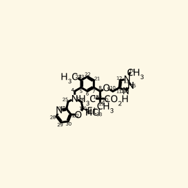 CC[C@@H]1CN(Cc2cc(C(OCc3cn(C)nn3)C(C)(C)C(=O)O)ccc2C)Cc2ncccc2O1.Cl